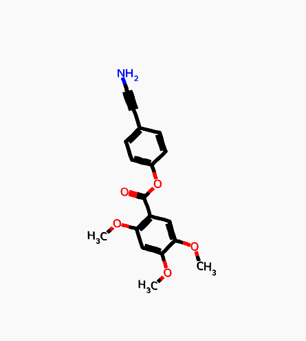 COc1cc(OC)c(C(=O)Oc2ccc(C#CN)cc2)cc1OC